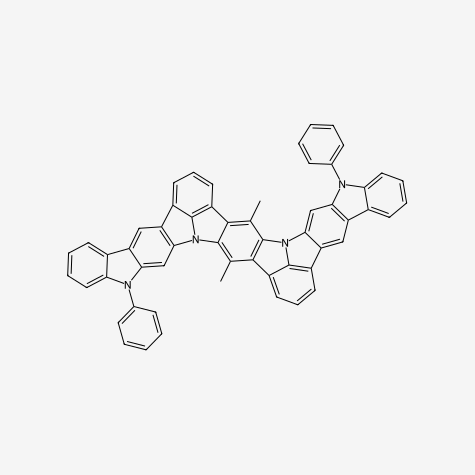 Cc1c2c3cccc4c5cc6c7ccccc7n(-c7ccccc7)c6cc5n(c2c(C)c2c5cccc6c7cc8c9ccccc9n(-c9ccccc9)c8cc7n(c12)c65)c43